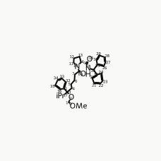 COCOC(CCCCC(=O)N1CCC[C@@H]1C(=O)NC(c1ccccc1)c1ccccc1)(c1ccccc1)C(C)C